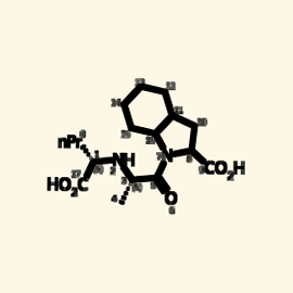 CCC[C@H](N[C@@H](C)C(=O)N1C(C(=O)O)CC2CCCCC21)C(=O)O